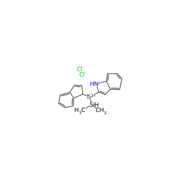 C[SiH](C)[Ti+2]([c]1cc2ccccc2[nH]1)[CH]1C=Cc2ccccc21.[Cl-].[Cl-]